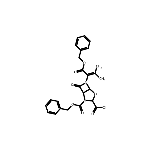 CC(C)=C(C(=O)OCc1ccccc1)N1C(=O)C2C1OC(C(=O)Cl)N2C(=O)OCc1ccccc1